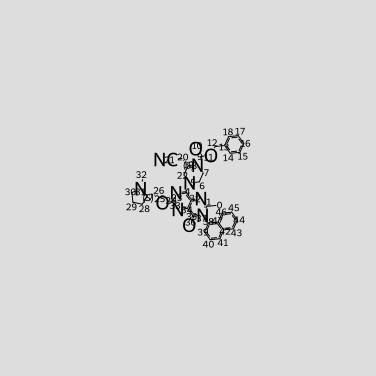 Cc1nc2c(N3CCN(C(=O)OCc4ccccc4)[C@@H](CC#N)C3)nc(OC[C@@H]3CCCN3C)nc2c(=O)n1-c1cccc2ccccc12